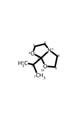 CC(C)C12OCCN1CCO2